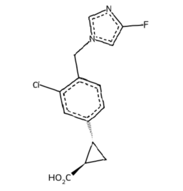 O=C(O)[C@@H]1C[C@H]1c1ccc(Cn2cnc(F)c2)c(Cl)c1